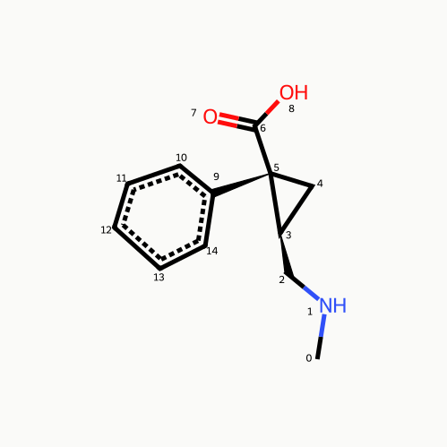 CNC[C@@H]1C[C@]1(C(=O)O)c1ccccc1